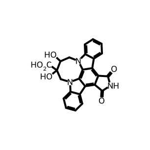 O=C1NC(=O)c2c1c1c3ccccc3n3c1c1c2c2ccccc2n1CC(O)(C(=O)O)C(O)C3